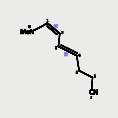 CN/C=C\C=C\CCC#N